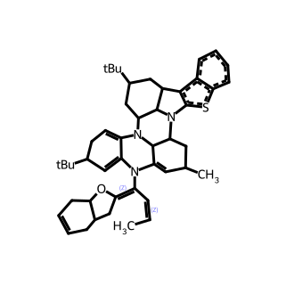 C/C=C\C(=C1/CC2CC=CCC2O1)N1C2=CC(C(C)(C)C)CC=C2N2C3CC(C(C)(C)C)CC4c5c(sc6ccccc56)N(C5CC(C)C=C1C52)C43